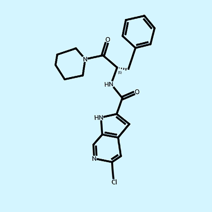 O=C(N[C@@H](Cc1ccccc1)C(=O)N1CCCCC1)c1cc2cc(Cl)ncc2[nH]1